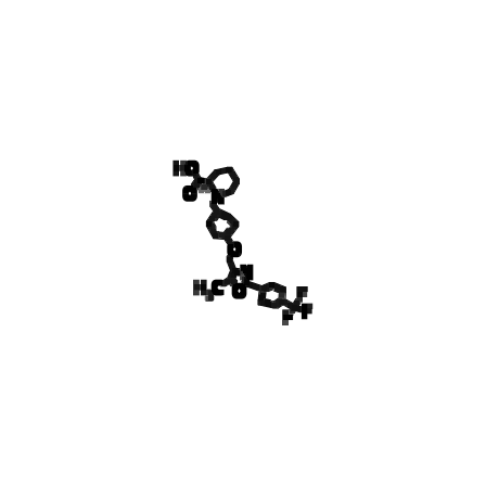 Cc1oc(-c2ccc(C(F)(F)F)cc2)nc1COc1ccc(CN2CCCC[C@@H]2C(=O)O)cc1